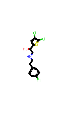 OC(CNCCc1ccc(Cl)cc1)c1cc(Cl)c(Cl)s1